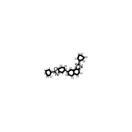 c1ccc(-c2nc3cc(-c4ccc5ccc6nc(-c7ccccc7)sc6c5c4)ccc3o2)cc1